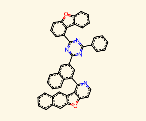 c1ccc(-c2nc(-c3cc(-c4nccc5oc6cc7ccccc7cc6c45)c4ccccc4c3)nc(-c3cccc4oc5ccccc5c34)n2)cc1